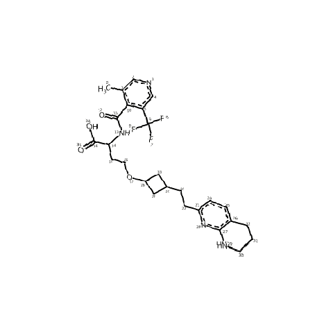 Cc1cncc(C(F)(F)F)c1C(=O)NC(CCOC1CC(CCc2ccc3c(n2)NCCC3)C1)C(=O)O